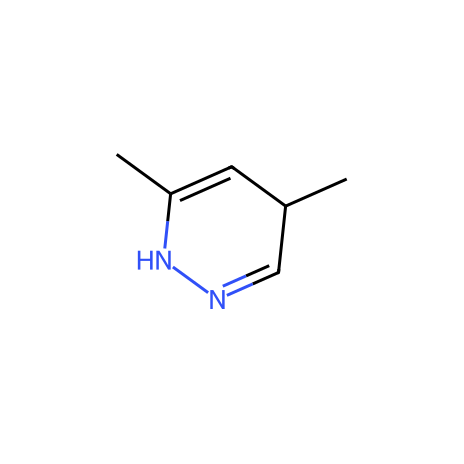 CC1=CC(C)C=NN1